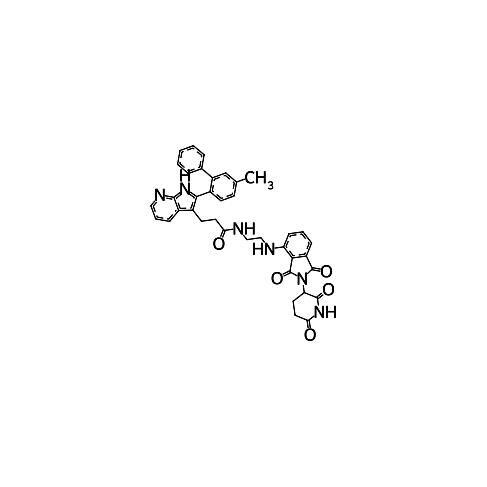 Cc1ccc(-c2[nH]c3ncccc3c2CCC(=O)NCCNc2cccc3c2C(=O)N(C2CCC(=O)NC2=O)C3=O)c(-c2ccccc2)c1